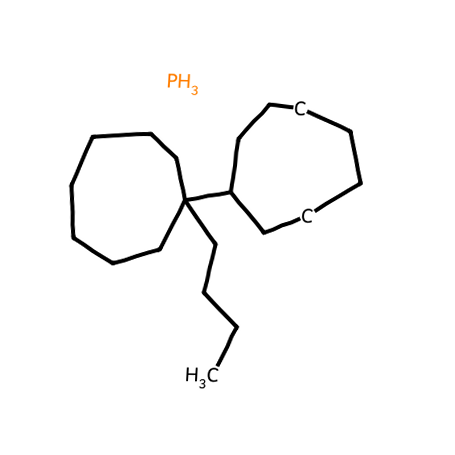 CCCCC1(C2CCCCCCC2)CCCCCCC1.P